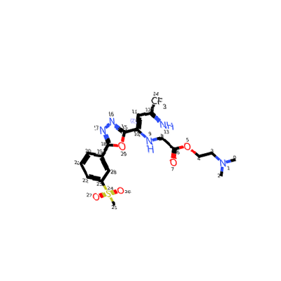 CN(C)CCOC(=O)CN/C(=C\C(=N)C(F)(F)F)c1nnc(-c2cccc(S(C)(=O)=O)c2)o1